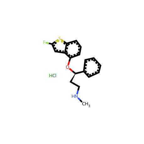 CNCC[C@@H](Oc1cccc2sc(F)cc12)c1ccccc1.Cl